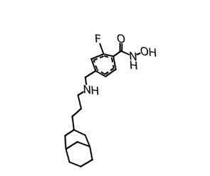 O=C(NO)c1ccc(CNCCCC2CC3CCCC(C2)C3)cc1F